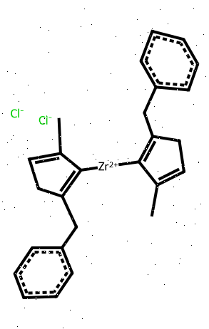 CC1=CCC(Cc2ccccc2)=[C]1[Zr+2][C]1=C(Cc2ccccc2)CC=C1C.[Cl-].[Cl-]